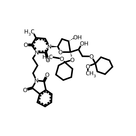 COC1(OCC(O)[C@@]2(OC3(OC)CCCCC3)O[C@@H](n3cc(C)c(=O)n(CCCN4C(=O)c5ccccc5C4=O)c3=O)C[C@@H]2O)CCCCC1